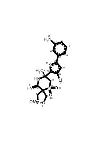 COCC1(COC)C(=N)N[C@](C)(c2sc(-c3cccc(N)c3)cc2Cl)CS1(=O)=O